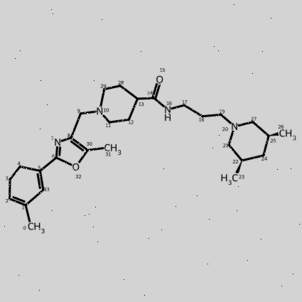 CC1=CCCC(c2nc(CN3CCC(C(=O)NCCCN4C[C@H](C)C[C@H](C)C4)CC3)c(C)o2)=C1